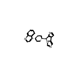 c1ccc2c(c1)nccc2[C@H]1CC[C@@H]([C@H]2c3sccc3-c3cncn32)CC1